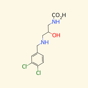 O=C(O)NCC(O)CNCc1ccc(Cl)c(Cl)c1